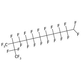 FC(F)C(F)(F)C(F)(F)C(F)(F)C(F)(F)C(F)(F)C(F)(F)C(F)(F)C(F)(F)C(F)(C(F)(F)F)C(F)(F)C(F)(F)F